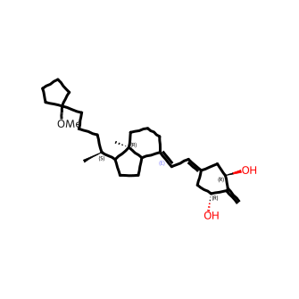 C=C1[C@H](O)CC(=C/C=C2\CCC[C@@]3(C)C2CCC3[C@@H](C)CCCC2(OC)CCCC2)C[C@H]1O